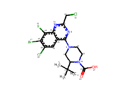 CC(C)(C)C1CN(c2nc(CCl)nc3c(F)c(Br)c(Cl)cc23)CCN1C(=O)O